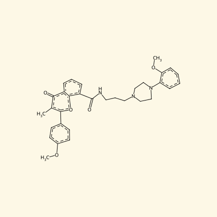 COc1ccc(-c2oc3c(C(=O)NCCCN4CCN(c5ccccc5OC)CC4)cccc3c(=O)c2C)cc1